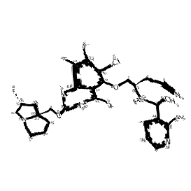 CC(N[C@H](CC#N)COc1c(Cl)c(Br)c(F)c2nc(OC[C@@]34CCCN3C[C@H](F)C4)nc(O)c12)c1cccnc1N